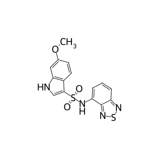 COc1ccc2c(S(=O)(=O)Nc3cccc4nsnc34)c[nH]c2c1